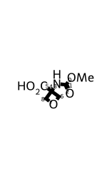 COC(=O)NC1(C(=O)O)COC1